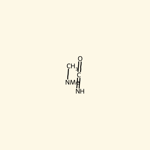 CNC.N=C=O